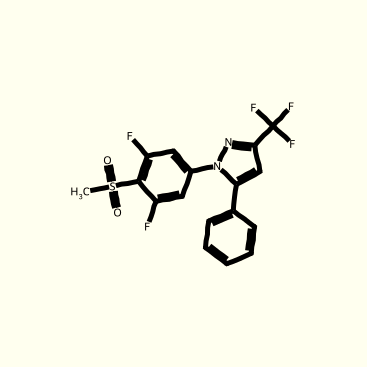 CS(=O)(=O)c1c(F)cc(-n2nc(C(F)(F)F)cc2-c2ccccc2)cc1F